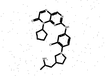 CC(N)CC1CCN(c2ccc(Nc3ncc4ncc(=O)n(C5CCCC5)c4n3)cc2Cl)C1